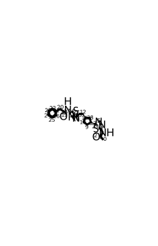 CC(=O)Nc1nnc([C@H]2CC[C@@H](Cc3nnc(NC(=O)Cc4ccccc4)s3)C2)s1